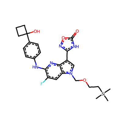 C[Si](C)(C)CCOCn1cc(-c2noc(=O)[nH]2)c2nc(Nc3ccc(C4(O)CCC4)cc3)c(F)cc21